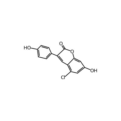 O=c1oc2cc(O)cc(Cl)c2cc1-c1ccc(O)cc1